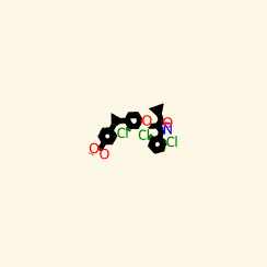 COC(=O)c1ccc(C2CC2C2=C(Cl)CC(OCc3c(-c4c(Cl)cccc4Cl)noc3C3CC3)C=C2)cc1